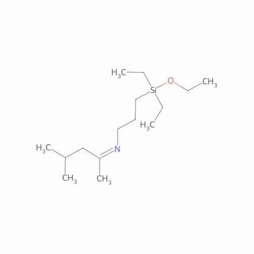 CCO[Si](CC)(CC)CCCN=C(C)CC(C)C